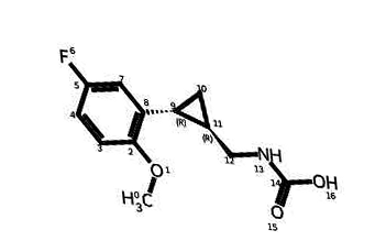 COc1ccc(F)cc1[C@@H]1C[C@H]1CNC(=O)O